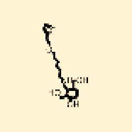 OCc1ccc(O)c(CO)c1CNCCCCCCOCCc1ccco1